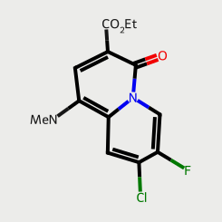 CCOC(=O)c1cc(NC)c2cc(Cl)c(F)cn2c1=O